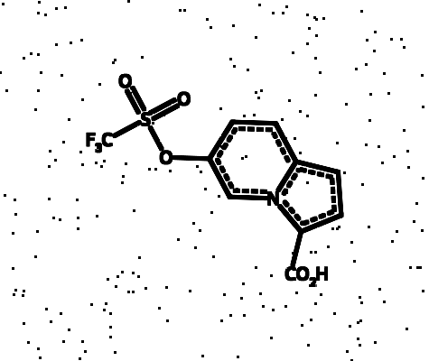 O=C(O)c1ccc2ccc(OS(=O)(=O)C(F)(F)F)cn12